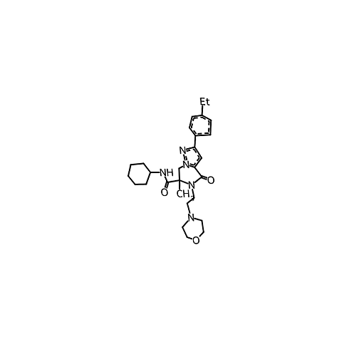 CCc1ccc(-c2cc3n(n2)CC(C)(C(=O)NC2CCCCC2)N(CCN2CCOCC2)C3=O)cc1